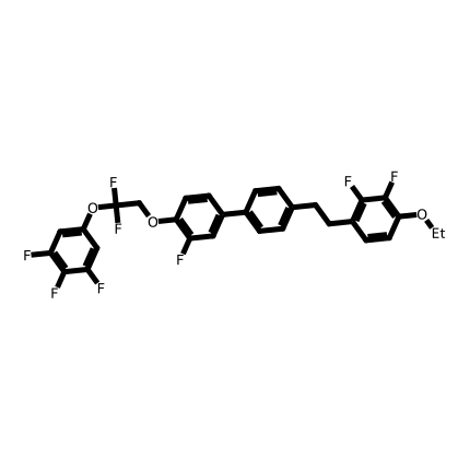 CCOc1ccc(CCc2ccc(-c3ccc(OCC(F)(F)Oc4cc(F)c(F)c(F)c4)c(F)c3)cc2)c(F)c1F